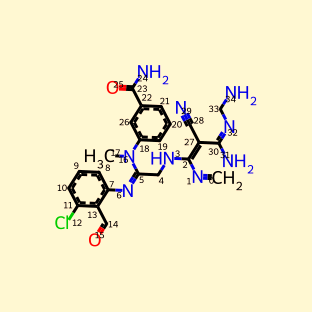 C=N/C(NC/C(=N/c1cccc(Cl)c1C=O)N(C)c1cccc(C(N)=O)c1)=C(C#N)\C(N)=N/CN